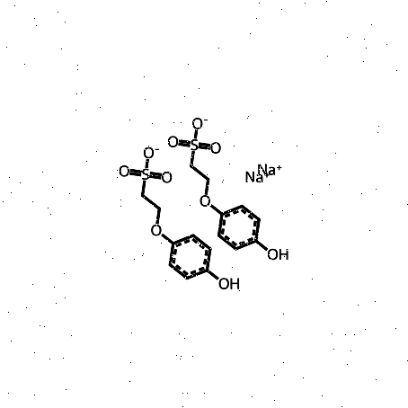 O=S(=O)([O-])CCOc1ccc(O)cc1.O=S(=O)([O-])CCOc1ccc(O)cc1.[Na+].[Na+]